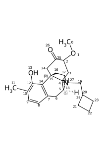 COC1C[C@@H]2[C@@H]3Cc4ccc(C)c(O)c4[C@]2(CCN3CC2CCC2)CC1=O